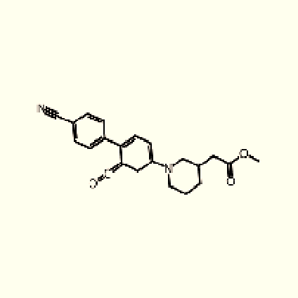 COC(=O)CC1CCCN(C2=CC=C(c3ccc(C#N)cc3)C(=C=O)C2)C1